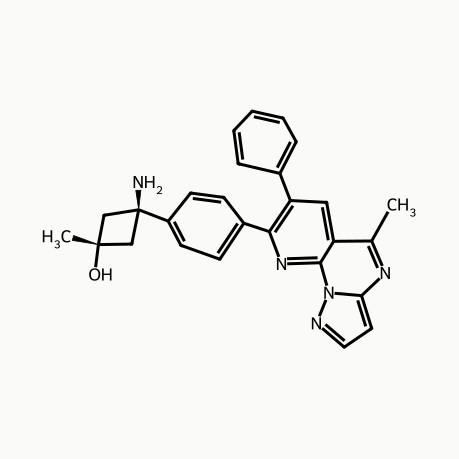 Cc1nc2ccnn2c2nc(-c3ccc([C@]4(N)C[C@](C)(O)C4)cc3)c(-c3ccccc3)cc12